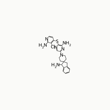 Nc1nc(N2CCC3(CC2)Cc2ccccc2[C@H]3N)cnc1Sc1ccnc(N)c1Cl